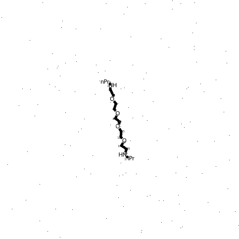 CCCNCCOCCOCCOCCOCCNC(C)C